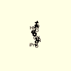 CC(C)C(=O)N1Cc2ncnc(Oc3ccc4c(ccn4C(=O)Nc4cc(C5(C)CC5)on4)c3)c2C1